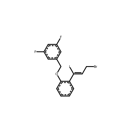 Fc1cc(F)cc(COc2ccccc2C(I)=CCBr)c1